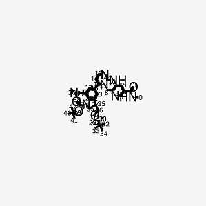 CNC(=O)c1cnc(C)c(Nc2nccc(-c3cc(C#N)c4c(c3)[C@@](C)(CO[Si](C)(C)C(C)(C)C)CN4C(=O)OC(C)(C)C)n2)c1